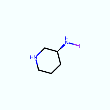 IN[C@H]1CCCNC1